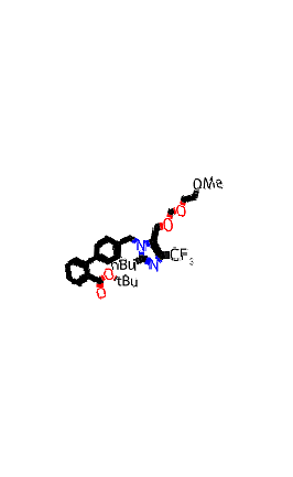 CCCCc1nc(C(F)(F)F)c(COCOCCOC)n1Cc1ccc(-c2ccccc2C(=O)OC(C)(C)C)cc1